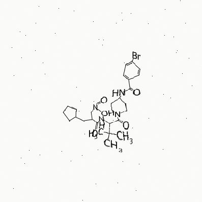 CC(C)(C)C(NC(=O)C(CC1CCCC1)CN(O)C=O)C(=O)N1CCC(NC(=O)c2ccc(Br)cc2)CC1